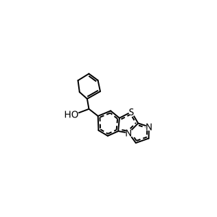 OC(C1=CC=CCC1)c1ccc2c(c1)sc1nccn12